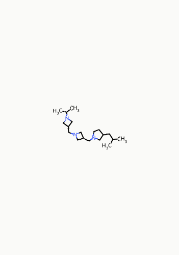 CC(C)CC1CCN(CC2CN(CC3CN(C(C)C)C3)C2)C1